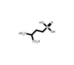 O=C(O)C(CCP(=O)(O)O)C(=O)O